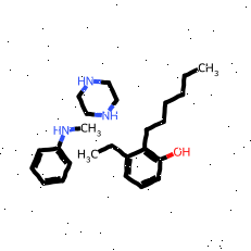 C1CNCCN1.CCCCCCc1c(O)cccc1CC.CNc1ccccc1